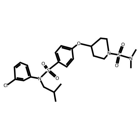 CC(C)CN(c1cccc(Cl)c1)S(=O)(=O)c1ccc(OC2CCN(S(=O)(=O)N(C)C)CC2)cc1